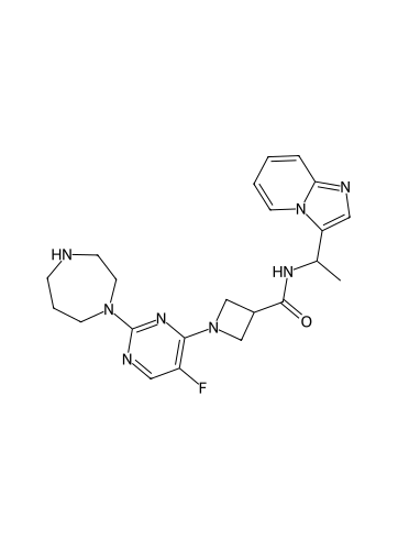 CC(NC(=O)C1CN(c2nc(N3CCCNCC3)ncc2F)C1)c1cnc2ccccn12